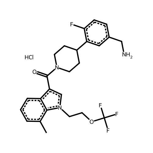 Cc1cccc2c(C(=O)N3CCC(c4cc(CN)ccc4F)CC3)cn(CCOC(F)(F)F)c12.Cl